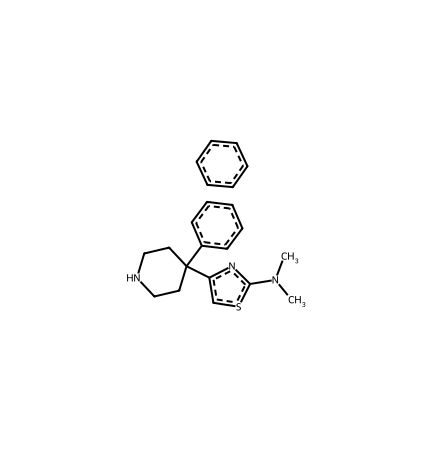 CN(C)c1nc(C2(c3ccccc3)CCNCC2)cs1.c1ccccc1